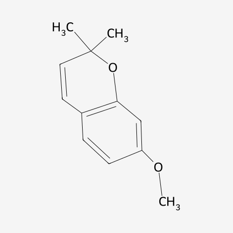 COc1ccc2c(c1)OC(C)(C)C=C2